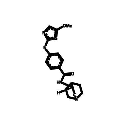 COc1cnc(Sc2ccc(C(=O)N[C@H]3CN4CCC3CC4)cc2)s1